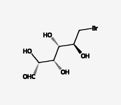 O=C[C@H](O)[C@@H](O)[C@H](O)[C@H](O)CBr